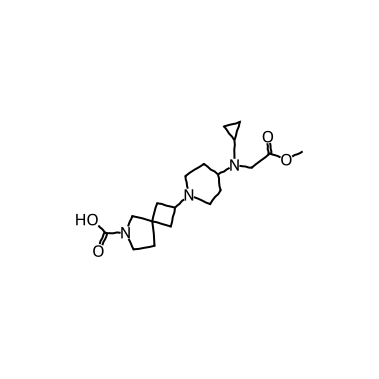 COC(=O)CN(C1CC1)C1CCN(C2CC3(CCN(C(=O)O)C3)C2)CC1